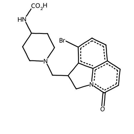 O=C(O)NC1CCN(CC2Cn3c(=O)ccc4ccc(Br)c2c43)CC1